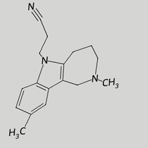 Cc1ccc2c(c1)c1c(n2CCC#N)CCCN(C)C1